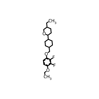 CCOc1ccc(OCC2CCC(C3CCC(CC)CO3)CC2)c(F)c1F